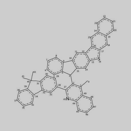 Cc1c(C2c3ccccc3-c3cc4c(cc32)sc2cc3ccccc3cc24)c(-c2ccc3c(c2)-c2ccccc2C3(C)C)nc2ccccc12